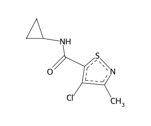 Cc1nsc(C(=O)NC2CC2)c1Cl